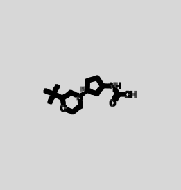 CC(C)(C)C1CN([C@H]2CCC(NC(=O)O)C2)CCO1